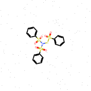 O=S(=O)(SN(S(=O)(=O)c1ccccc1)S(=O)(=O)c1ccccc1)c1ccccc1